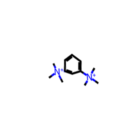 C[N+](C)(C)c1cccc([N+](C)(C)C)c1